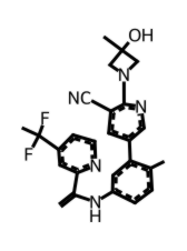 C=C(Nc1ccc(C)c(-c2cnc(N3CC(C)(O)C3)c(C#N)c2)c1)c1cc(C(C)(F)F)ccn1